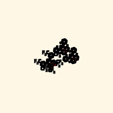 Cc1ccccc1B(OB(c1ccccc1C)c1ccccc1C)c1ccccc1C.Cc1ccccc1B(OB(c1ccccc1C)c1ccccc1C)c1ccccc1C.FC(F)(F)c1cc(B(OB(c2cc(C(F)(F)F)cc(C(F)(F)F)c2)c2cc(C(F)(F)F)cc(C(F)(F)F)c2)c2cc(C(F)(F)F)cc(C(F)(F)F)c2)cc(C(F)(F)F)c1